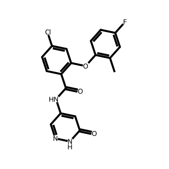 Cc1cc(F)ccc1Oc1cc(Cl)ccc1C(=O)Nc1cn[nH]c(=O)c1